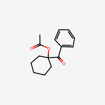 CC(=O)OC1(C(=O)c2ccccc2)CCCCC1